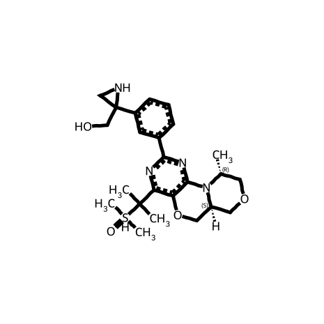 C[C@@H]1COC[C@H]2COc3c(nc(-c4cccc(C5(CO)CN5)c4)nc3C(C)(C)[SH](C)(C)=O)N21